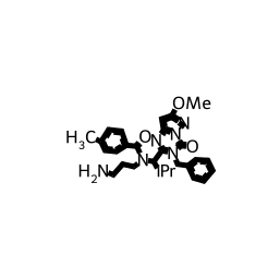 COc1cc2nc(C(C(C)C)N(CCCN)C(=O)c3ccc(C)cc3)n(Cc3ccccc3)c(=O)n2n1